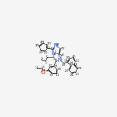 CCCCn1c(CN(Cc2cccc(OCC)c2)Cc2cccc3ccccc23)cnc1-c1ccccc1